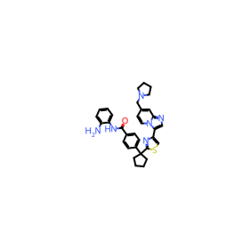 Nc1ccccc1NC(=O)c1ccc(C2(c3nc(-c4cnc5cc(CN6CCCC6)ccn45)cs3)CCCC2)cc1